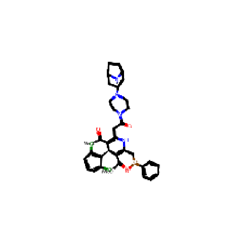 COC(=O)C1=C(CC(=O)N2CCN(C3CC4CCC(C3)N4C)CC2)NC(C[S+]([O-])c2ccccc2)=C(C(=O)OC)[C@H]1c1c(Cl)cccc1Cl